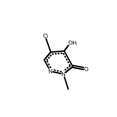 Cn1ncc(Cl)c(O)c1=O